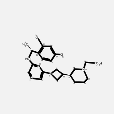 C[C@@H](Nc1cncc(N2CC([C@@H]3CCCN(CC(=O)O)C3)C2)n1)c1ccc(Cl)cc1Cl